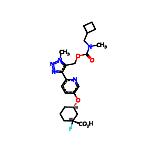 CN(CC1CCC1)C(=O)OCc1c(-c2ccc(O[C@H]3CCC[C@](F)(C(=O)O)C3)cn2)nnn1C